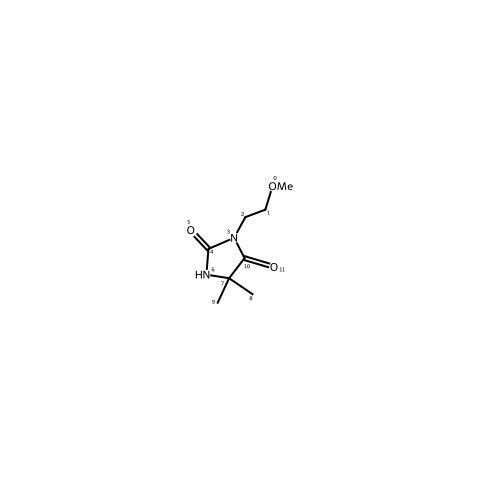 COCCN1C(=O)NC(C)(C)C1=O